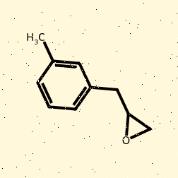 Cc1[c]c(CC2CO2)ccc1